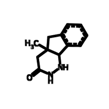 CC12CC(=O)NNC1c1ccccc1C2